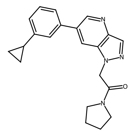 O=C(Cn1ncc2ncc(-c3cccc(C4CC4)c3)cc21)N1CCCC1